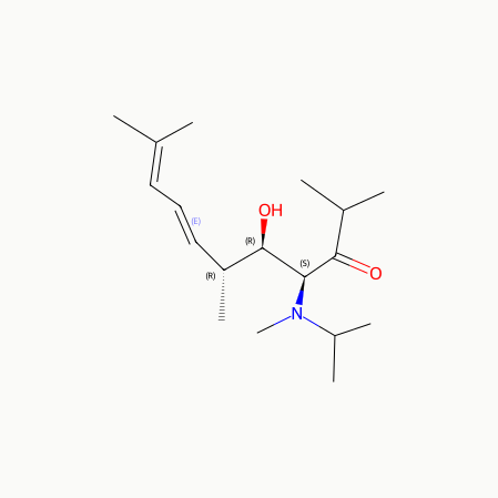 CC(C)=C/C=C/[C@@H](C)[C@@H](O)[C@@H](C(=O)C(C)C)N(C)C(C)C